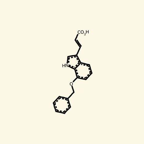 O=C(O)C=Cc1c[nH]c2c(OCc3ccccc3)cccc12